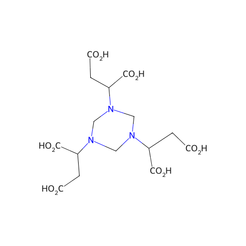 O=C(O)CC(C(=O)O)N1CN(C(CC(=O)O)C(=O)O)CN(C(CC(=O)O)C(=O)O)C1